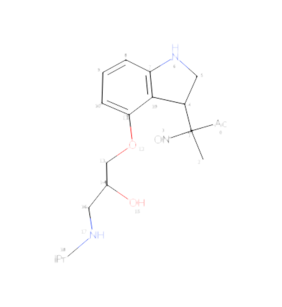 CC(=O)C(C)(N=O)C1CNc2cccc(OCC(O)CNC(C)C)c21